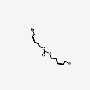 O=C(OCC/C=C\CBr)OCC/C=C\CBr